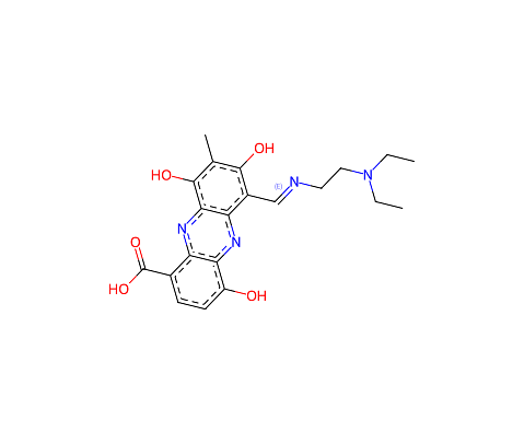 CCN(CC)CC/N=C/c1c(O)c(C)c(O)c2nc3c(C(=O)O)ccc(O)c3nc12